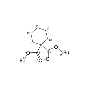 CCC(C)OC(=O)C1(C(=O)OC(C)CC)CCCCC1